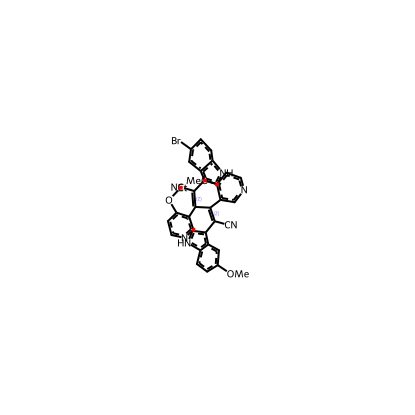 CCOc1ccncc1C(/C(=C(/C#N)c1c[nH]c2ccc(OC)cc12)c1cnccc1OC)=C(\C#N)c1c[nH]c2ccc(Br)cc12